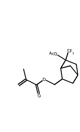 C=C(C)C(=O)OCC1CC2CC1C(OC(C)=O)(C(F)(F)F)C2